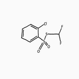 O=S(=O)(SC(F)F)c1ccccc1Cl